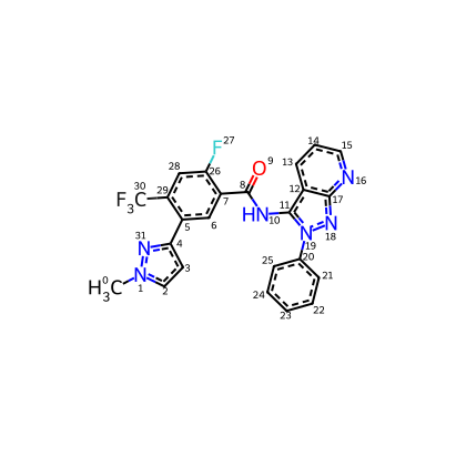 Cn1ccc(-c2cc(C(=O)Nc3c4cccnc4nn3-c3ccccc3)c(F)cc2C(F)(F)F)n1